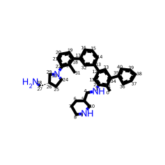 Cc1c(NCC2CCCNC2)cc(-c2cccc(-c3cccc(N4CC[C@H](CN)C4)c3C)c2)cc1-c1ccccc1